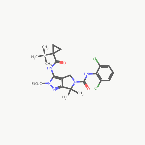 CCOC(=O)n1nc2c(c1NC(=O)C1([Si](C)(C)C)CC1)CN(C(=O)Nc1c(Cl)cccc1Cl)C2(C)C